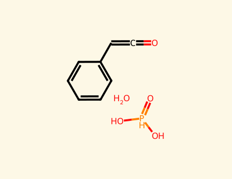 O.O=C=Cc1ccccc1.O=[PH](O)O